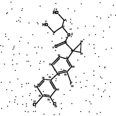 O=C(OC(CO)CO)C1(c2ccc(-c3ccc(Cl)c(Cl)c3)c(F)c2)CC1